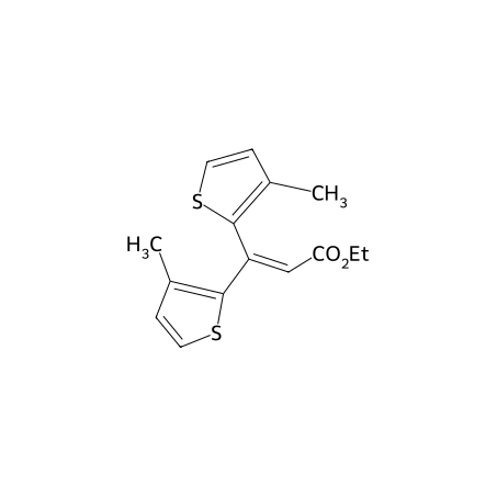 CCOC(=O)C=C(c1sccc1C)c1sccc1C